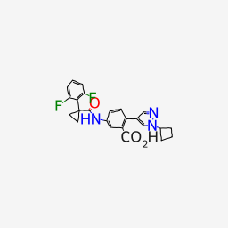 O=C(O)c1cc(NC(=O)C2(c3c(F)cccc3F)CC2)ccc1-c1cnn(C2CCC2)c1